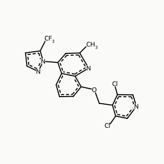 Cc1cc(-n2nccc2C(F)(F)F)c2cccc(OCc3c(Cl)cncc3Cl)c2n1